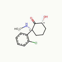 O=C(O)N[C@@]1(c2ccccc2Cl)CCC[C@@H](O)C1=O